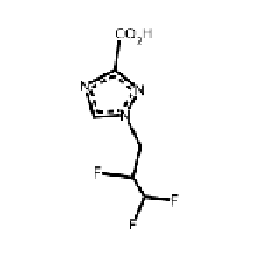 O=C(O)c1ncn(CC(F)C(F)F)n1